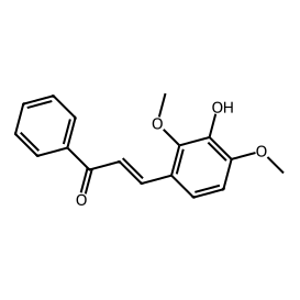 COc1ccc(C=CC(=O)c2ccccc2)c(OC)c1O